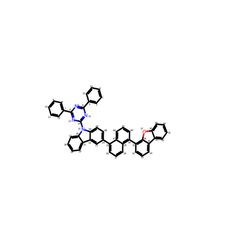 c1ccc(-c2nc(-c3ccccc3)nc(-n3c4ccccc4c4cc(-c5cccc6c(-c7cccc8c7oc7ccccc78)cccc56)ccc43)n2)cc1